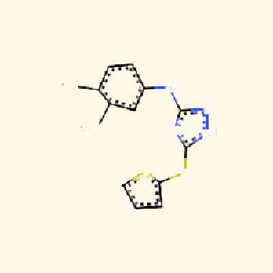 COc1ccc(Nc2n[nH]c(Sc3cccs3)n2)cc1OC